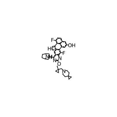 C#Cc1c(F)ccc2cc(O)cc(-c3c(Cl)cc4c(N5CC6CCC(C5)N6)nc(OCC5(CN6CCC7(CC6)CC7)CC5)nc4c3F)c12